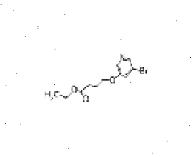 CCOC(=O)CCCOc1cncc(Br)c1